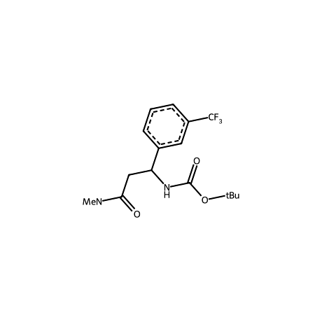 CNC(=O)CC(NC(=O)OC(C)(C)C)c1cccc(C(F)(F)F)c1